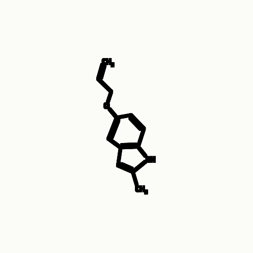 C=CCOc1ccc2[nH]c(C)cc2c1